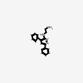 NCCNc1nnc(-c2ccccc2)cc1-c1ccccc1